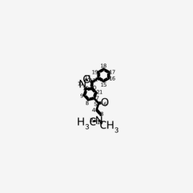 CN(C)C=CC(=O)c1ccc2noc(-c3ccccc3)c2c1